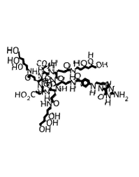 NC(=O)[C@H](CCC(=O)NCC[C@@H](O)C[C@H](O)CO)NC(=O)[C@H](CCC(=O)O)NC(=O)[C@H](CCC(=O)NCC[C@@H](O)C[C@H](O)CO)NC(=O)[C@H](CCC(=O)O)NC(=O)[C@H](CCC(=O)NCC[C@@H](O)C[C@H](O)CO)NC(=O)CCCNC(=O)c1ccc(NCc2cnc3nc(N)[nH]c(=O)c3n2)cc1